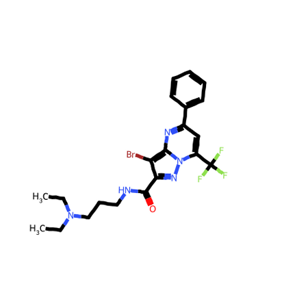 CCN(CC)CCCNC(=O)c1nn2c(C(F)(F)F)cc(-c3ccccc3)nc2c1Br